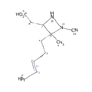 CCC/C=C/CCC1(C)C(CC(=O)O)NN1C#N